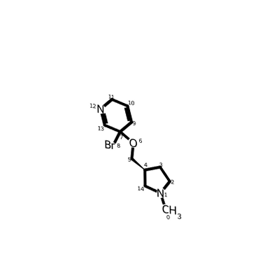 CN1CC[C@H](COC2(Br)C=CCN=C2)C1